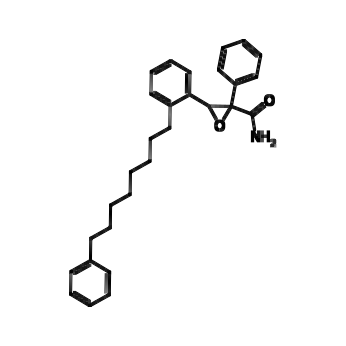 NC(=O)C1(c2ccccc2)OC1c1ccccc1CCCCCCCCc1ccccc1